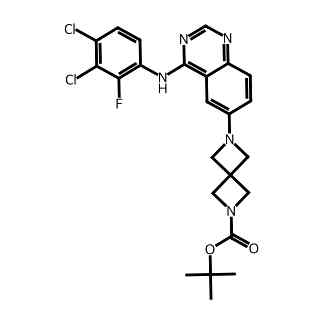 CC(C)(C)OC(=O)N1CC2(C1)CN(c1ccc3ncnc(Nc4ccc(Cl)c(Cl)c4F)c3c1)C2